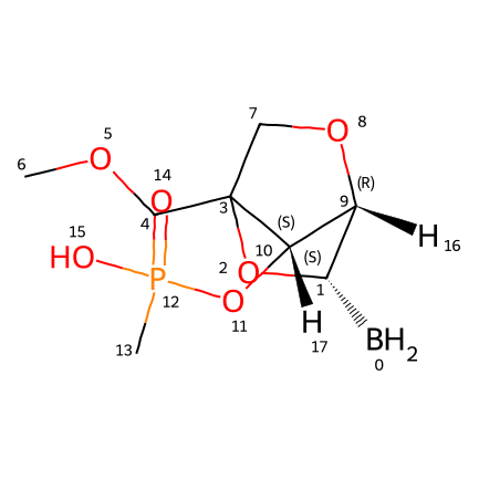 B[C@@H]1OC2(COC)CO[C@H]1[C@@H]2OP(C)(=O)O